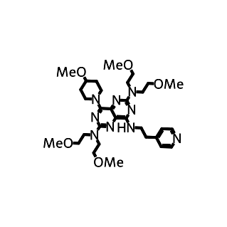 COCCN(CCOC)c1nc(N2CCC(OC)CC2)c2nc(N(CCOC)CCOC)nc(NCCc3ccncc3)c2n1